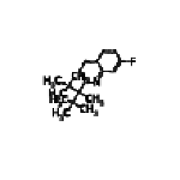 CC(C)(C)C(C)(c1ccc2ccc(F)cc2n1)C(C)(C)C